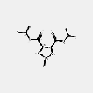 CB1OC(C(=O)OC(C)C)C(C(=O)OC(C)C)O1